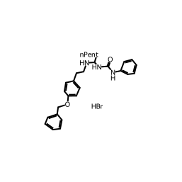 Br.CCCCCC(NCCc1ccc(OCc2ccccc2)cc1)NC(=O)Nc1ccccc1